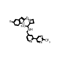 OC(NCc1ccnc(-c2cnc(C(F)(F)F)nc2)c1)C1CCN1Oc1cc2cc(F)ccc2o1